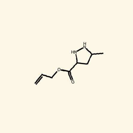 C=CCOC(=O)C1CC(C)NN1